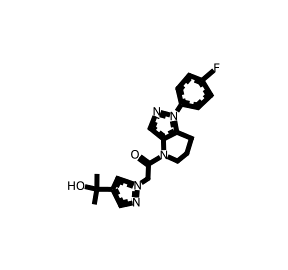 CC(C)(O)c1cnn(CC(=O)N2CCCc3c2cnn3-c2ccc(F)cc2)c1